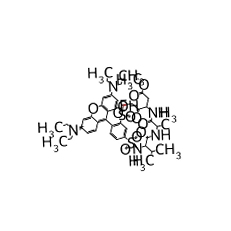 CCN(CC)c1ccc2c(-c3ccc(S(=O)(=O)NC(C(=O)NC(C)C(=O)NC(CC(=O)OC)C(=O)CF)C(C)C)cc3S(=O)(=O)O)c3ccc(=[N+](CC)CC)cc-3oc2c1